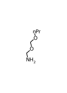 CCCOCOCN